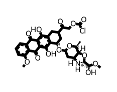 COc1cccc2c1C(=O)c1c(O)c3c(c(O)c1C2=O)CC(C(=O)COC(=O)Cl)C[C@@H]3OC1C[C@@H]2N[C@@H]([C@H](O)OC)O[C@@H]2[C@H](C)O1